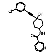 O=C(NC1CCC(O)(C#Cc2cccc(Cl)c2)CC1)c1cccnc1